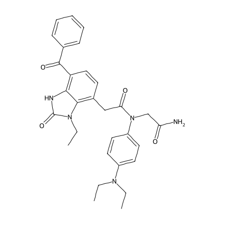 CCN(CC)c1ccc(N(CC(N)=O)C(=O)Cc2ccc(C(=O)c3ccccc3)c3[nH]c(=O)n(CC)c23)cc1